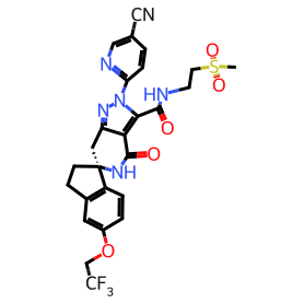 CS(=O)(=O)CCNC(=O)c1c2c(nn1-c1ccc(C#N)cn1)C[C@]1(CCc3cc(OCC(F)(F)F)ccc31)NC2=O